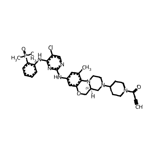 C#CC(=O)N1CCC(N2CCN3c4c(C)cc(Nc5ncc(Cl)c(Nc6ccccc6P(C)(C)=O)n5)cc4OC[C@@H]3C2)CC1